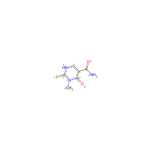 Cn1c(=S)[nH]cc(C(N)=O)c1=O